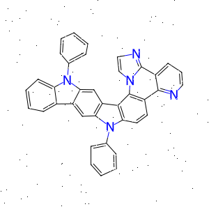 c1ccc(-n2c3ccccc3c3cc4c(cc32)c2c(ccc3c5ncccc5c5nccn5c32)n4-c2ccccc2)cc1